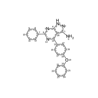 Nc1n[nH]c2nc(-c3ccccc3)nc(-c3ccc(Oc4ccccc4)cc3)c12